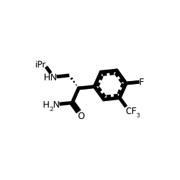 CC(C)NC[C@@H](C(N)=O)c1ccc(F)c(C(F)(F)F)c1